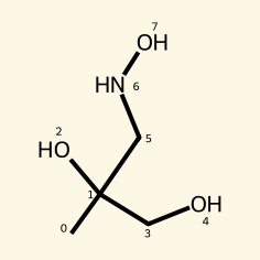 CC(O)(CO)CNO